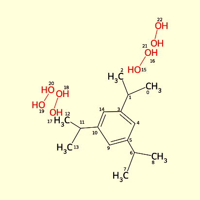 CC(C)c1cc(C(C)C)cc(C(C)C)c1.OO.OO.OO.OO